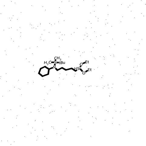 CCO[SiH](CCCCCN(C1CCCCC1)[Si](C)(C)C(C)(C)C)OCC